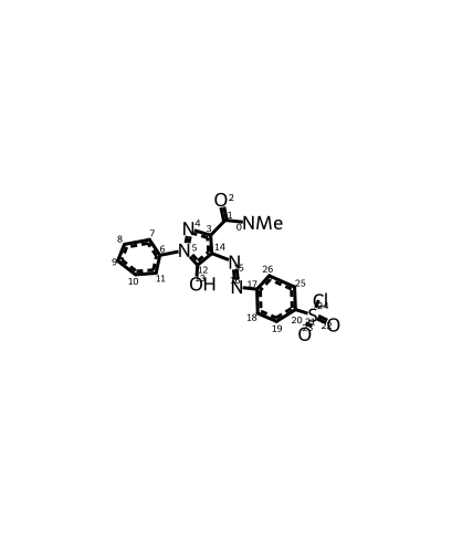 CNC(=O)c1nn(-c2ccccc2)c(O)c1N=Nc1ccc(S(=O)(=O)Cl)cc1